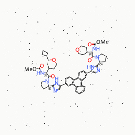 COC(=O)N[C@H](C(=O)N1CCC[C@H]1c1ncc(-c2ccc3c4ccc(-c5cnc([C@@H]6CCCN6C(=O)[C@@H](NC(=O)OC)C6CCOC(C7CCC7)C6)[nH]5)cc4c4ccccc4c3c2)[nH]1)C1CCOCC1